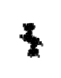 CN1C(=O)c2ccc3c4cc(-c5ccc(N6c7ccccc7C(C)(C)c7ccccc76)cc5)c5c6c(ccc(c7cc(-c8ccc(N9c%10ccccc%10C(C)(C)c%10ccccc%109)cc8)c(c2c37)C1=O)c64)C(=O)N(C)C5=O